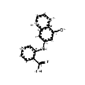 O=C(O)c1ccncc1Nc1cc(Cl)c2nccnc2c1